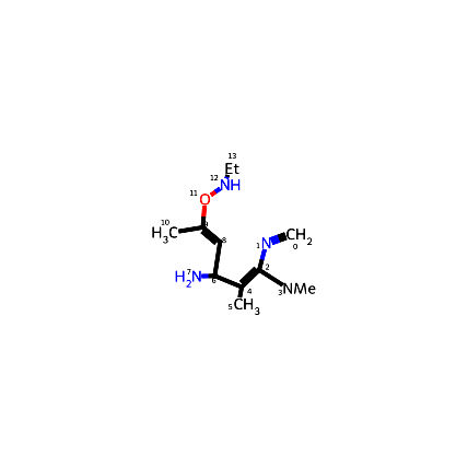 C=N/C(NC)=C(/C)C(N)/C=C(\C)ONCC